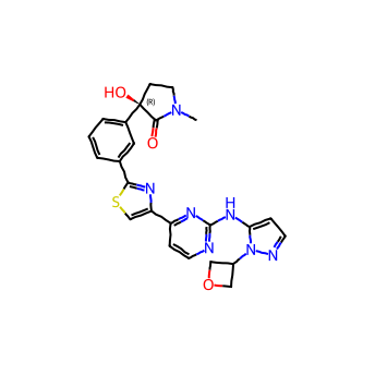 CN1CC[C@@](O)(c2cccc(-c3nc(-c4ccnc(Nc5ccnn5C5COC5)n4)cs3)c2)C1=O